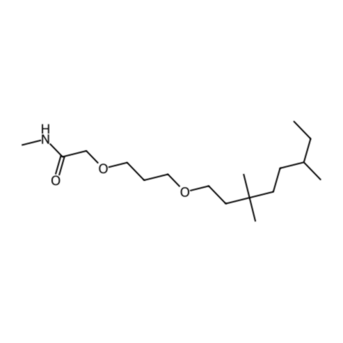 CCC(C)CCC(C)(C)CCOCCCOCC(=O)NC